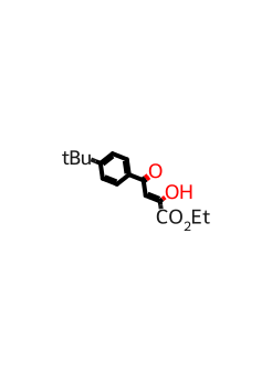 CCOC(=O)/C(O)=C/C(=O)c1ccc(C(C)(C)C)cc1